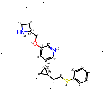 c1ccc(SCC[C@H]2C[C@@H]2c2cncc(OC[C@@H]3CCN3)c2)cc1